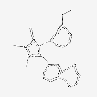 CCc1cccc(-c2c(-c3ccc4nccnc4c3)n(C)n(C)c2=O)c1